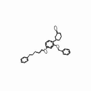 O=C1CCCC(c2ccc(OCCCCCc3ccccc3)cc2OCc2ccccc2)C1